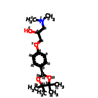 CN(C)CC(O)COc1ccc(B2OC(C)(C)C(C)(C)O2)cc1